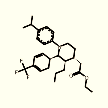 CCC[C@H]1C([C@@H]2C=CC(C(F)(F)F)=CC2)N(c2ccc(C(C)C)cc2)CC[C@@H]1CC(=O)OCC